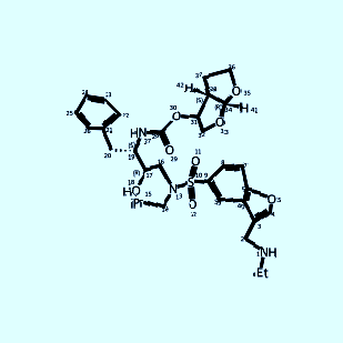 CCNCc1coc2ccc(S(=O)(=O)N(CC(C)C)C[C@@H](O)[C@H](Cc3ccccc3)NC(=O)OC3CO[C@H]4OCC[C@@H]34)cc12